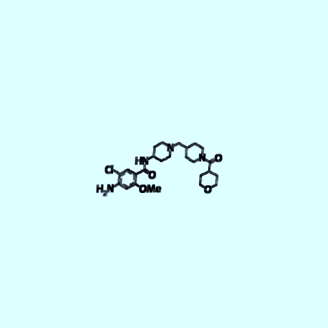 COc1cc(N)c(Cl)cc1C(=O)NC1CCN(CC2CCN(C(=O)C3CCOCC3)CC2)CC1